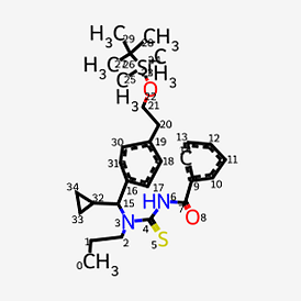 CCCN(C(=S)NC(=O)c1ccccc1)C(c1ccc(CCO[Si](C)(C)C(C)(C)C)cc1)C1CC1